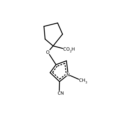 Cn1cc(OC2(C(=O)O)CCCC2)cc1C#N